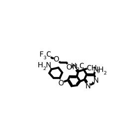 CC1(C)/C(=N/OCCOCC(F)(F)F)c2cc(O[C@H]3CC[C@@H](N)CC3)ccc2-c2ncnc(N)c21